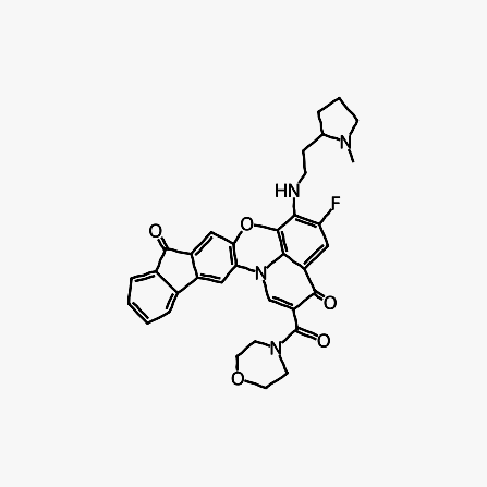 CN1CCCC1CCNc1c(F)cc2c(=O)c(C(=O)N3CCOCC3)cn3c4cc5c(cc4oc1c23)c(=O)c1ccccc15